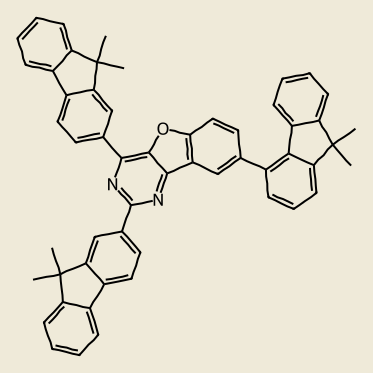 CC1(C)c2ccccc2-c2ccc(-c3nc(-c4ccc5c(c4)C(C)(C)c4ccccc4-5)c4oc5ccc(-c6cccc7c6-c6ccccc6C7(C)C)cc5c4n3)cc21